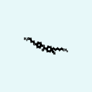 CCCCCCC1(C#N)CCC(C(=O)Oc2ccc(OCCCC)cc2)CC1